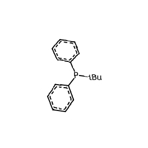 CC(C)(C)P(c1ccccc1)c1ccccc1